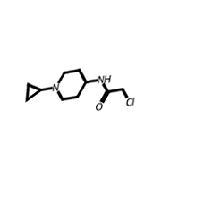 O=C(CCl)NC1CCN(C2CC2)CC1